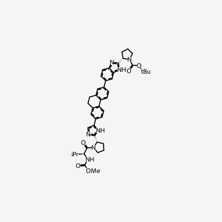 COC(=O)N[C@H](C(=O)N1CCC[C@H]1c1ncc(-c2ccc3c(c2)CCc2cc(-c4ccc5nc([C@@H]6CCCN6C(=O)OC(C)(C)C)[nH]c5c4)ccc2-3)[nH]1)C(C)C